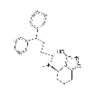 CN(CCCC(c1ccccc1)c1ccccc1)[C@@H]1CCCc2onc(O)c21